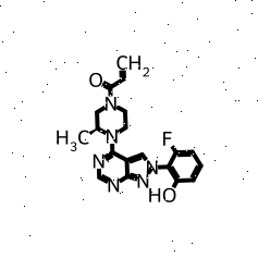 C=CC(=O)N1CCN(c2ncnc3nn(-c4c(O)cccc4F)cc23)[C@@H](C)C1